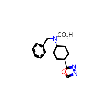 O=C(O)N(Cc1ccccc1)[C@H]1CC[C@H](c2nnco2)CC1